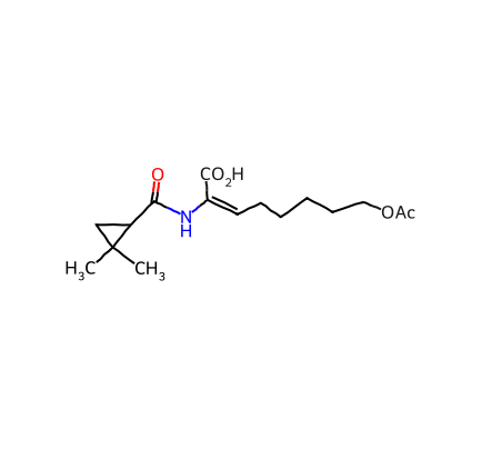 CC(=O)OCCCCC/C=C(/NC(=O)C1CC1(C)C)C(=O)O